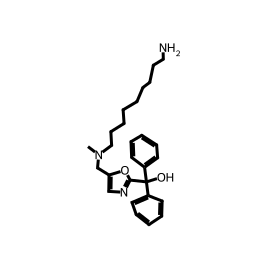 CN(CCCCCCCCCN)Cc1cnc(C(O)(c2ccccc2)c2ccccc2)o1